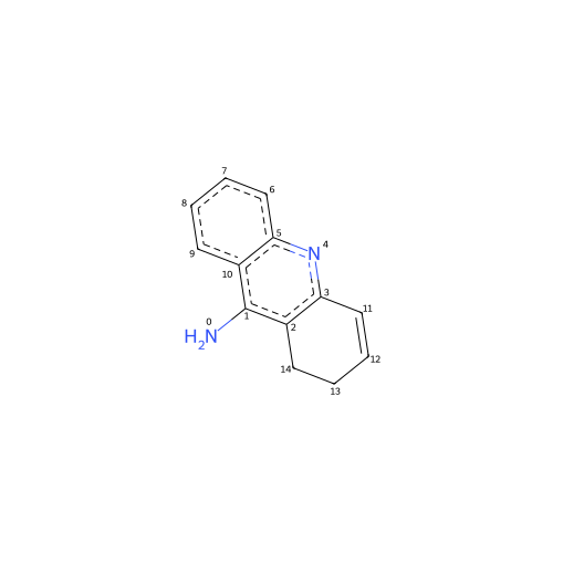 Nc1c2c(nc3ccccc13)C=CCC2